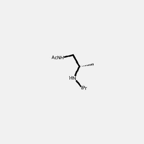 CC(=O)NC[C@H](C)NC(C)C